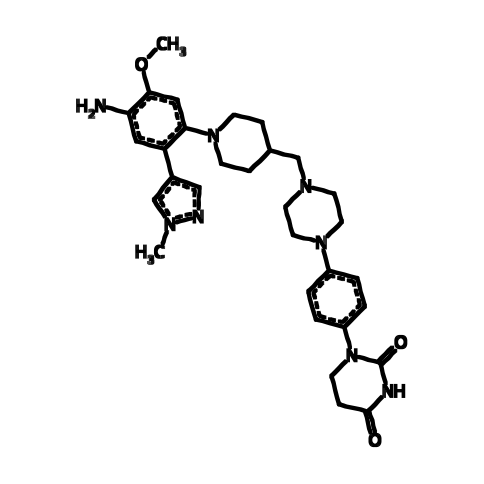 COc1cc(N2CCC(CN3CCN(c4ccc(N5CCC(=O)NC5=O)cc4)CC3)CC2)c(-c2cnn(C)c2)cc1N